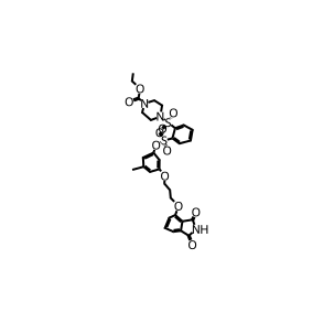 CCOC(=O)N1CCN(S(=O)(=O)c2ccccc2S(=O)(=O)Oc2cc(C)cc(OCCCOc3cccc4c3C(=O)NC4=O)c2)CC1